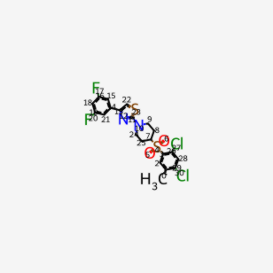 Cc1cc(S(=O)(=O)C2CCN(c3nc(-c4cc(F)cc(F)c4)cs3)CC2)c(Cl)cc1Cl